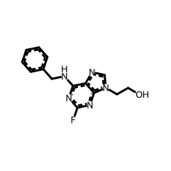 OCCn1cnc2c(NCc3ccccc3)nc(F)nc21